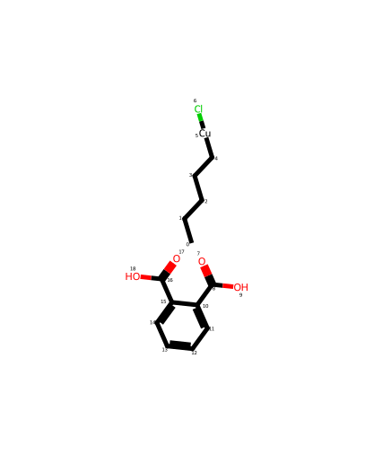 CCCC[CH2][Cu][Cl].O=C(O)c1ccccc1C(=O)O